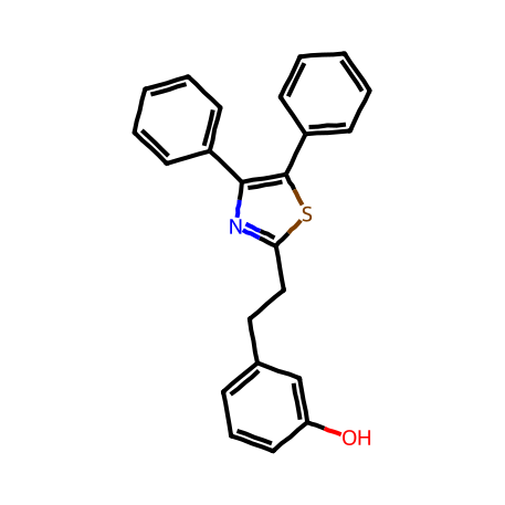 Oc1cccc(CCc2nc(-c3ccccc3)c(-c3ccccc3)s2)c1